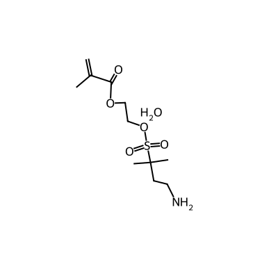 C=C(C)C(=O)OCCOS(=O)(=O)C(C)(C)CCN.O